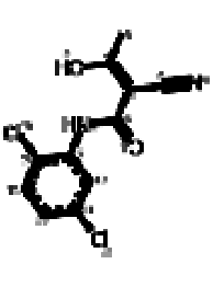 CC(O)=C(C#N)C(=O)Nc1cc(Cl)ccc1Cl